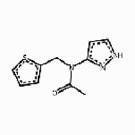 CC(=O)N(Cc1cccs1)c1cc[nH]n1